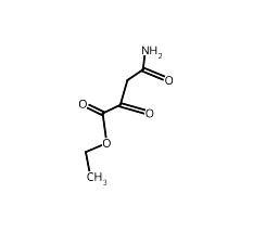 CCOC(=O)C(=O)CC(N)=O